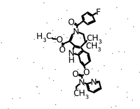 CCOC(=O)C1=CN(C(=O)c2ccc(F)cc2)CC(C)(C)c2c1[nH]c1cc(OC(=O)N(CC)c3ccccn3)ccc21